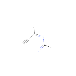 C#C/C(C)=N\C(C)=N